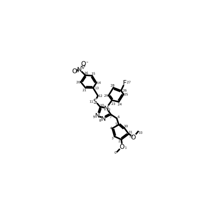 COc1ccc(Cc2nnc(SCc3ccc([N+](=O)[O-])cc3)n2-c2ccc(F)cc2)cc1OC